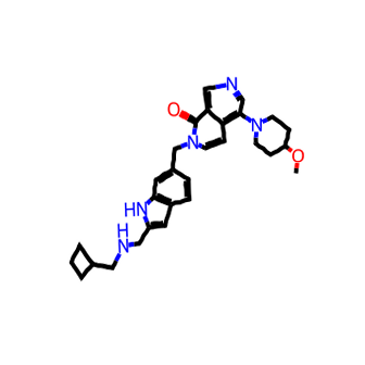 COC1CCN(c2cncc3c(=O)n(Cc4ccc5cc(CNCC6CCC6)[nH]c5c4)ccc23)CC1